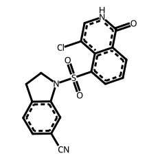 N#Cc1ccc2c(c1)N(S(=O)(=O)c1cccc3c(=O)[nH]cc(Cl)c13)CC2